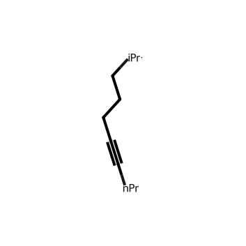 CCCC#CCCC[C](C)C